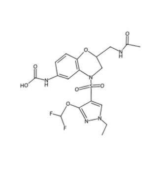 CCn1cc(S(=O)(=O)N2CC(CNC(C)=O)Oc3ccc(NC(=O)O)cc32)c(OC(F)F)n1